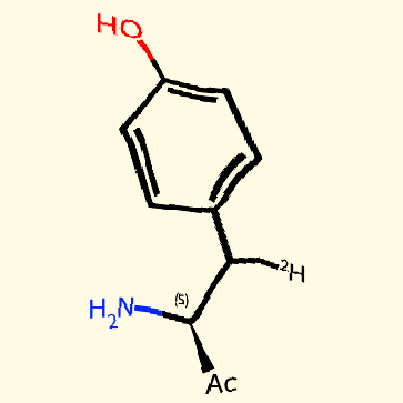 [2H]C(c1ccc(O)cc1)[C@H](N)C(C)=O